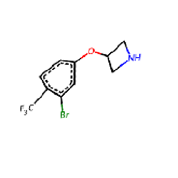 FC(F)(F)c1ccc(OC2CNC2)cc1Br